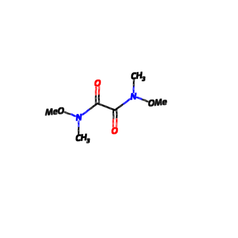 CON(C)C(=O)C(=O)N(C)OC